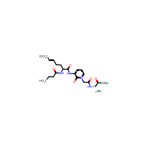 CCOC(=O)C=CCCC(NC(=O)CCC(=O)O)C(=O)Nc1cccn(CC(=O)N[C@H](C(=O)OC)[C@H](C)CC)c1=O